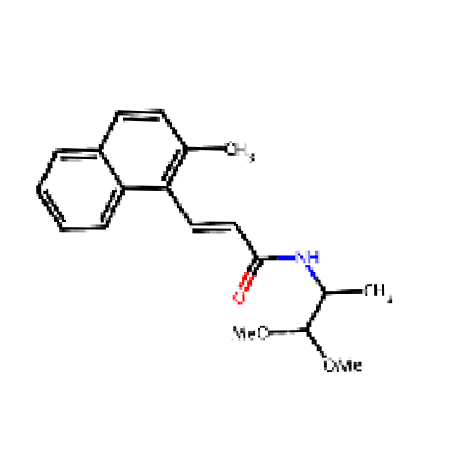 COC(OC)C(C)NC(=O)C=Cc1c(C)ccc2ccccc12